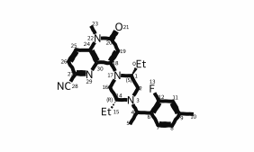 CC[C@H]1CN(C(C)c2ccc(C)cc2F)[C@H](CC)CN1c1cc(=O)n(C)c2ccc(C#N)nc12